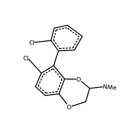 CNC1COc2ccc(Cl)c(-c3ccccc3Cl)c2O1